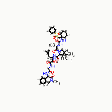 CN(C)C(=O)[C@@H](NC(=O)CNC(=O)C(=O)C(CC1CC1)NC(=O)[C@@H]1[C@@H]2[C@H](CN1C(=O)[C@@H](NC(=O)NC1(CS(=O)(=O)c3ccccc3)CCCCC1)C(C)(C)C)C2(C)C)c1ccccc1